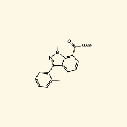 COC(=O)c1cccc2c(-c3ccccc3C)nn(C)c12